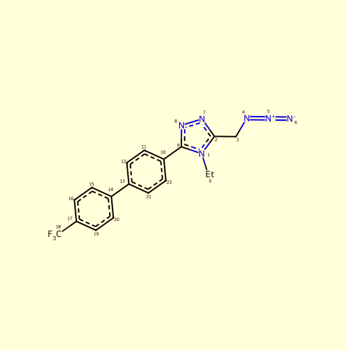 CCn1c(CN=[N+]=[N-])nnc1-c1ccc(-c2ccc(C(F)(F)F)cc2)cc1